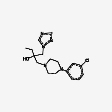 CCC(O)(CN1CCN(c2cccc(Cl)c2)CC1)Cn1cncn1